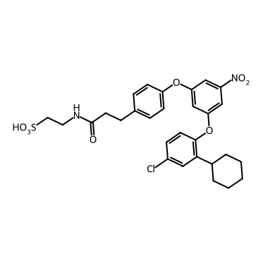 O=C(CCc1ccc(Oc2cc(Oc3ccc(Cl)cc3C3CCCCC3)cc([N+](=O)[O-])c2)cc1)NCCS(=O)(=O)O